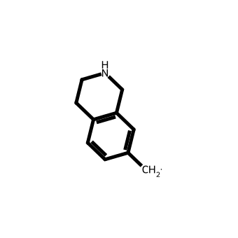 [CH2]c1ccc2c(c1)CNCC2